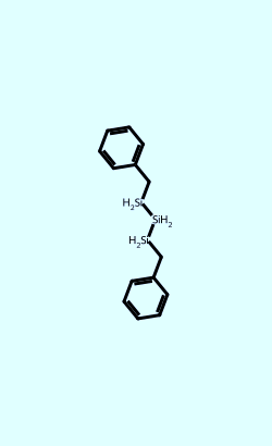 c1ccc(C[SiH2][SiH2][SiH2]Cc2ccccc2)cc1